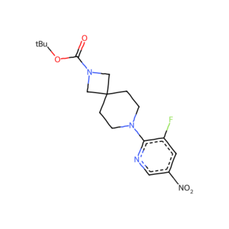 CC(C)(C)OC(=O)N1CC2(CCN(c3ncc([N+](=O)[O-])cc3F)CC2)C1